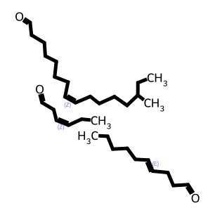 CC/C=C\CC=O.CCC(C)CCCC/C=C\CCCCCCC=O.CCCCC/C=C/CCC=O